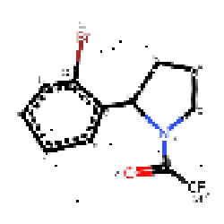 O=C(N1CCCC1c1ccccc1Br)C(F)(F)F